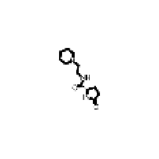 O=C1CC[C@@H](C(=O)NCCN2CCCCC2)N1